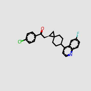 O=C(C[C@H]1CC12CCC(c1ccnc3ccc(F)cc13)CC2)c1ccc(Cl)cc1